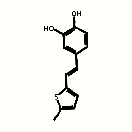 Cc1ccc(/C=C/c2ccc(O)c(O)c2)s1